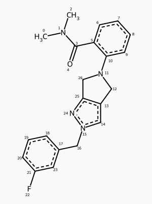 CN(C)C(=O)c1ccccc1N1Cc2cn(Cc3cccc(F)c3)nc2C1